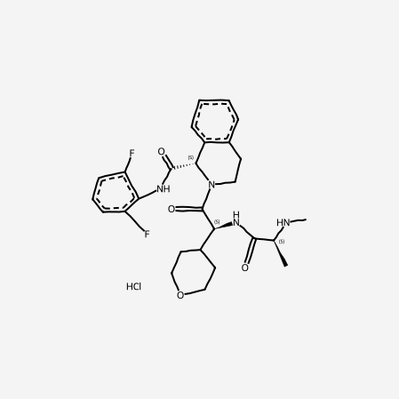 CN[C@@H](C)C(=O)N[C@H](C(=O)N1CCc2ccccc2[C@H]1C(=O)Nc1c(F)cccc1F)C1CCOCC1.Cl